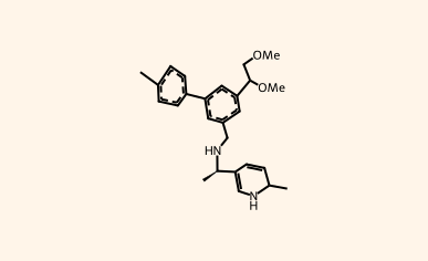 COCC(OC)c1cc(CN[C@H](C)C2=CNC(C)C=C2)cc(-c2ccc(C)cc2)c1